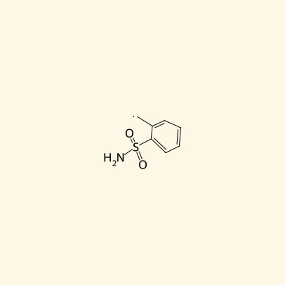 [CH2]c1ccccc1S(N)(=O)=O